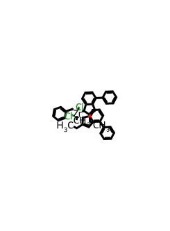 CCC1=Cc2c(-c3ccccc3)cccc2[CH]1[Zr]([CH3])([Cl])([Cl])(=[CH]c1ccccc1)[CH]1C(CC)=Cc2c(-c3ccccc3)cccc21